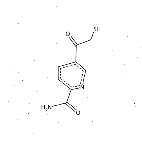 NC(=O)c1ccc(C(=O)CS)cn1